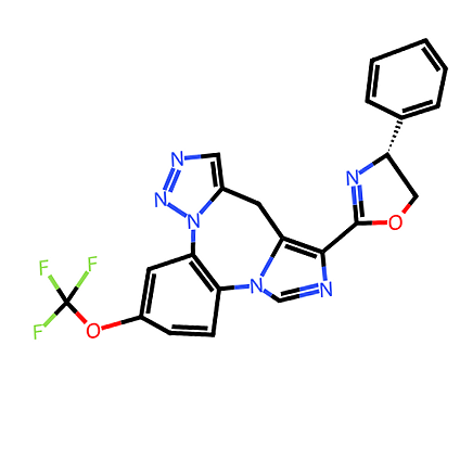 FC(F)(F)Oc1ccc2c(c1)-n1nncc1Cc1c(C3=N[C@H](c4ccccc4)CO3)ncn1-2